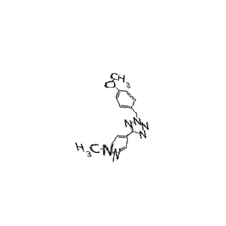 COc1ccc(Cn2nnc(-c3cnn(C)c3)n2)cc1